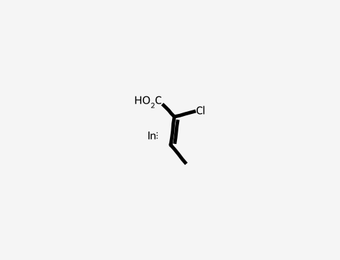 CC=C(Cl)C(=O)O.[In]